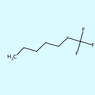 CCCCC[C]C(F)(F)F